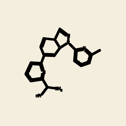 CCCC(N)c1cccc(C2=CC3C(C=C2)C=NN3c2cccc(C)n2)n1